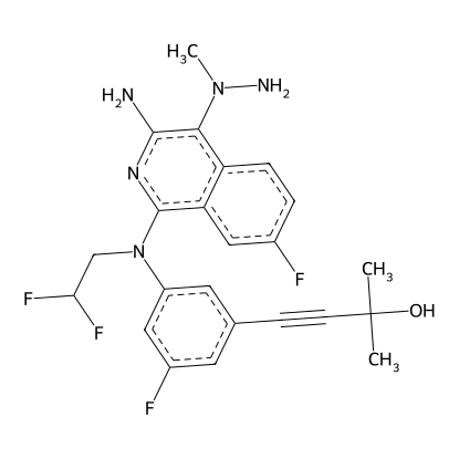 CN(N)c1c(N)nc(N(CC(F)F)c2cc(F)cc(C#CC(C)(C)O)c2)c2cc(F)ccc12